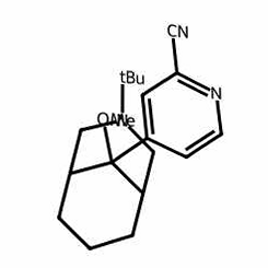 COC1(c2ccnc(C#N)c2)C2CCCC1CN(C(C)(C)C)C2